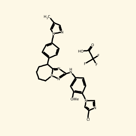 COc1cc(Nc2nc3n(n2)CCCCC3c2ccc(-n3cc(C)cn3)cc2)ccc1-n1cnc(Cl)c1.O=C(O)C(F)(F)F